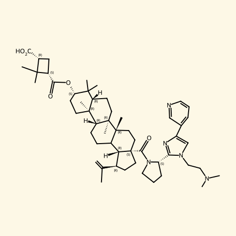 C=C(C)[C@@H]1CC[C@]2(C(=O)N3CCC[C@H]3c3nc(-c4cccnc4)cn3CCN(C)C)CC[C@]3(C)C(CC[C@@H]4[C@@]5(C)CC[C@H](OC(=O)[C@H]6C[C@@H](C(=O)O)C6(C)C)C(C)(C)[C@@H]5CC[C@]43C)[C@@H]12